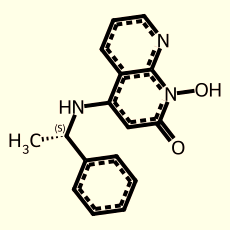 C[C@H](Nc1cc(=O)n(O)c2ncccc12)c1ccccc1